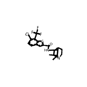 CC1(C)C(NC(=O)c2cc3ccc(Cl)c(C(F)(F)F)c3s2)C2CCN1CC2